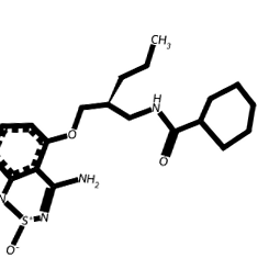 CCC[C@@H](CNC(=O)C1CCCCC1)COc1cccc2c1C(N)=N[S+]([O-])N2